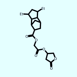 CCC1CC(CC)C2C3CC(CC3C(=O)OCC(=O)OC3COC(=O)C3)C12